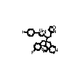 Fc1ccc(CC(Cc2cccnc2)([C](Cc2ccon2)c2cc(-c3ccc(F)cc3)on2)c2ccno2)cc1